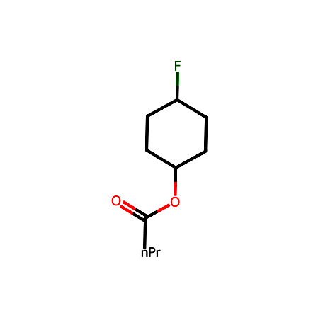 CCCC(=O)OC1CCC(F)CC1